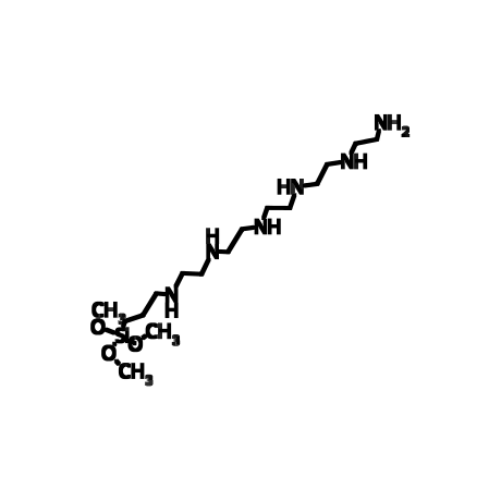 CO[Si](CCCNCCNCCNCCNCCNCCN)(OC)OC